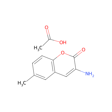 CC(=O)O.Cc1ccc2oc(=O)c(N)cc2c1